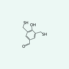 O=Cc1cc(CS)c(O)c(CS)c1